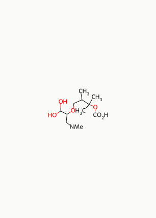 CNCC(OCC(C)C(C)(C)OC(=O)O)C(O)O